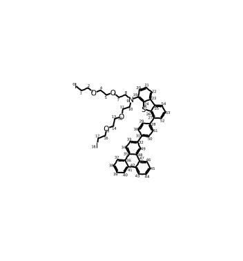 ICCOCCOCCN(CCOCCOCCI)c1cccc2c1sc1c(-c3ccc(-c4ccc5c6ccccc6c6ccccc6c5c4)cc3)cccc12